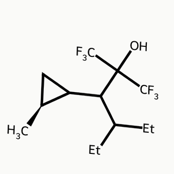 CCC(CC)C(C1C[C@@H]1C)C(O)(C(F)(F)F)C(F)(F)F